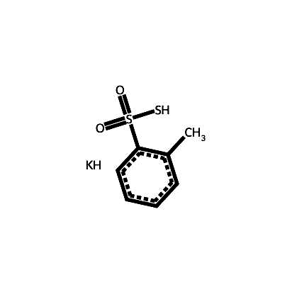 Cc1ccccc1S(=O)(=O)S.[KH]